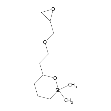 C[Si]1(C)CCCC(CCOCC2CO2)O1